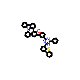 c1ccc(-c2nc(-c3ccc4oc5c(-c6cccc7c8ccccc8n(-c8ccccc8)c67)cccc5c4c3)nc(-c3cccc4c3sc3ccccc34)n2)cc1